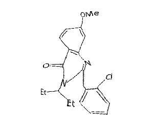 CCC(CC)n1c(-c2ccccc2Cl)nc2cc(OC)ccc2c1=O